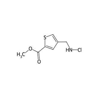 COC(=O)c1cc(CNCl)cs1